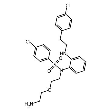 NCCOCCN(c1ccccc1NCCc1ccc(Cl)cc1)S(=O)(=O)c1ccc(Cl)cc1